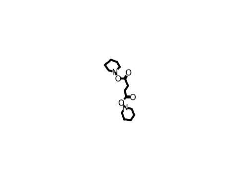 O=C(CCC(=O)ON1CCCCC1)ON1CCCCC1